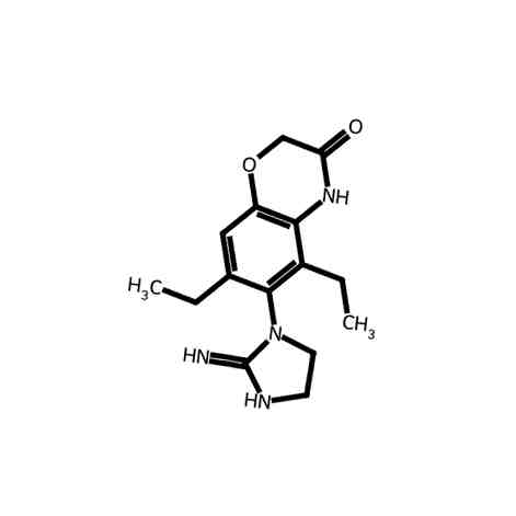 CCc1cc2c(c(CC)c1N1CCNC1=N)NC(=O)CO2